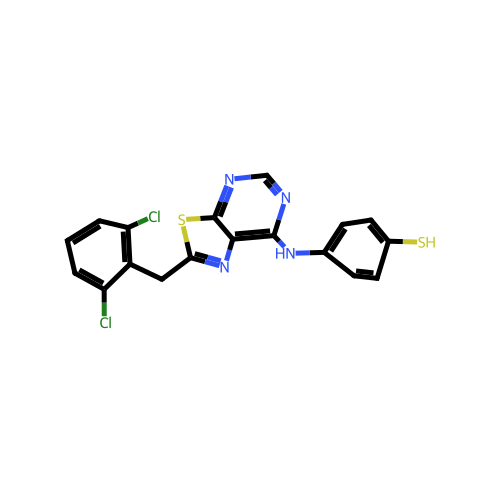 Sc1ccc(Nc2ncnc3sc(Cc4c(Cl)cccc4Cl)nc23)cc1